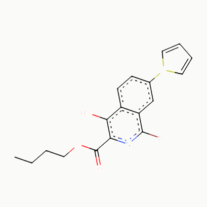 CCCCOC(=O)c1nc(Br)c2cc([SH]3C=CC=C3)ccc2c1O